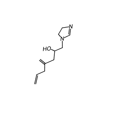 C=CCC(=C)CC(O)CN1C=NCC1